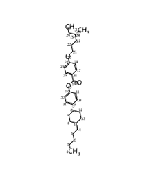 CCCCC[C@H]1CC[C@H](c2ccc(OC(=O)c3ccc(OCCC[C@@H](C)CC)cc3)cc2)CC1